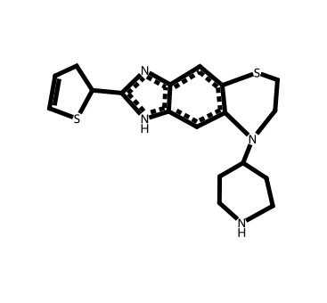 C1=CSC(c2nc3cc4c(cc3[nH]2)N(C2CCNCC2)CCS4)C1